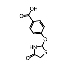 O=C1CSC(Oc2ccc(C(=O)O)cc2)N1